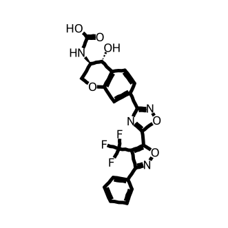 O=C(O)N[C@@H]1COc2cc(-c3noc(-c4onc(-c5ccccc5)c4C(F)(F)F)n3)ccc2[C@H]1O